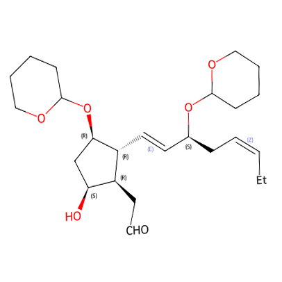 CC/C=C\C[C@@H](/C=C/[C@@H]1[C@@H](CC=O)[C@@H](O)C[C@H]1OC1CCCCO1)OC1CCCCO1